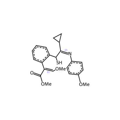 CO/C=C(/C(=O)OC)c1ccccc1C(S)/C(=N\c1ccc(OC)cc1)C1CC1